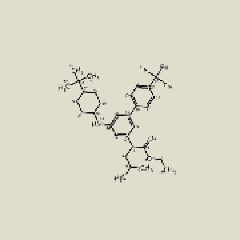 CCOC(=O)C(CC(C)C)c1cc(NC2CCC(C(C)(C)C)CC2)cc(-c2ccc(C(F)(F)F)cc2)c1